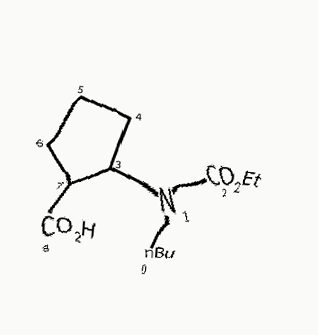 CCCCN(C(=O)OCC)C1CCCC1C(=O)O